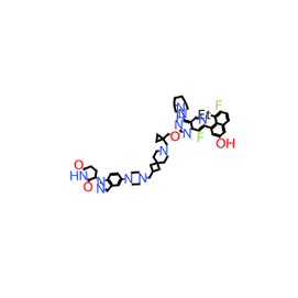 CCc1c(F)ccc2cc(O)cc(-c3ncc4c(N5CC6CCC(C5)N6)nc(OCC5(CN6CCC7(CC6)CC(CN6CCN(c8ccc9c(cnn9C9CCC(=O)NC9=O)c8)CC6)C7)CC5)nc4c3F)c12